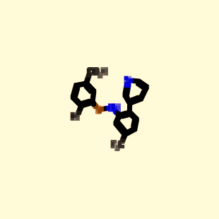 CCc1ccc(C(=O)O)cc1SNc1cc(C(F)(F)F)ccc1-c1cccnc1